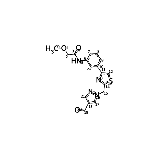 COCC(=O)Nc1cccc(-c2csc(Cn3cc(C=O)cn3)n2)c1